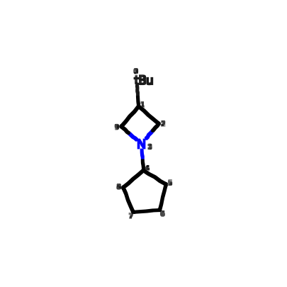 CC(C)(C)C1CN(C2CCCC2)C1